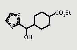 CCOC(=O)C1CCC(C(O)c2nccs2)CC1